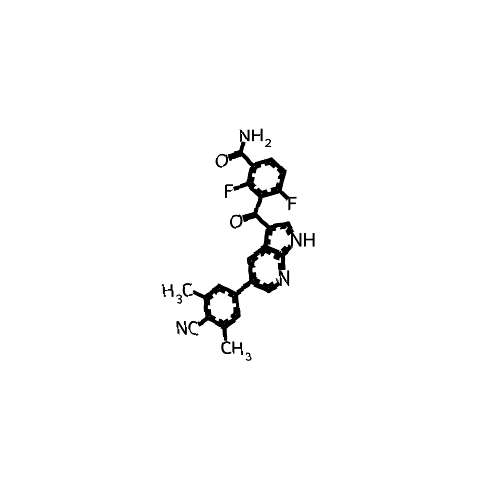 Cc1cc(-c2cnc3[nH]cc(C(=O)c4c(F)ccc(C(N)=O)c4F)c3c2)cc(C)c1C#N